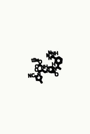 CC1CC(C#N)N(C(=O)C(CN2C[C@@H]3CC2C(=O)N3C(C)c2cccc(-c3nnn[nH]3)c2)NC(=O)OC(C)(C)C)C1